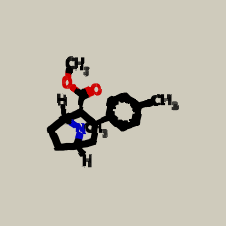 COC(=O)[C@H]1[C@@H](c2ccc(C)cc2)C[C@@H]2CC[C@H]1N2C